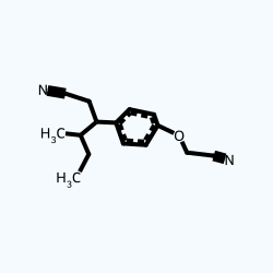 CCC(C)C(CC#N)c1ccc(OCC#N)cc1